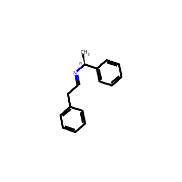 C[C@H](N=CCc1ccccc1)c1ccccc1